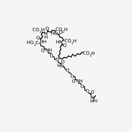 CC(=O)[C@H](C)NC(=O)COCCOCCNC(=O)COCCOCCNC(=O)COCCOCCNC(=O)CC[C@H](NC(=O)CC[C@@H](NC(=O)CC[C@H](NC(=O)CC[C@@H](NC(=O)CCCCCCCCCCCCCCCCC(=O)O)C(=O)O)C(=O)O)C(=O)O)C(=O)O